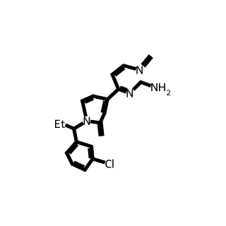 C=N/C=C\C(=N/CN)C1=CC(=C)N(C(CC)c2cccc(Cl)c2)C=C1